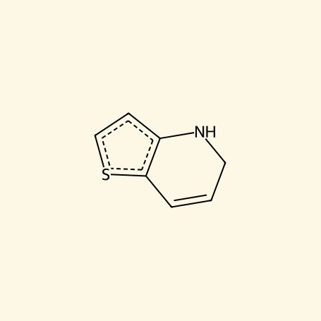 C1=Cc2sccc2NC1